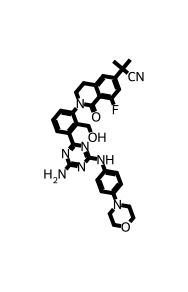 CC(C)(C#N)c1cc(F)c2c(c1)CCN(c1cccc(-c3nc(N)nc(Nc4ccc(N5CCOCC5)cc4)n3)c1CO)C2=O